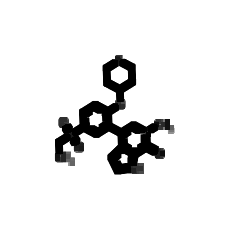 CCS(=O)(=O)c1ccc(OC2CCSCC2)c(-c2cn(C)c(=O)c3[nH]ccc23)c1